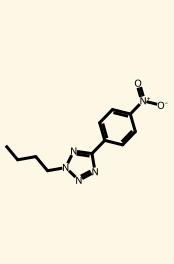 CCCCn1nnc(-c2ccc([N+](=O)[O-])cc2)n1